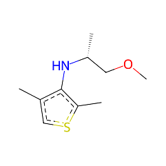 COC[C@@H](C)Nc1c(C)csc1C